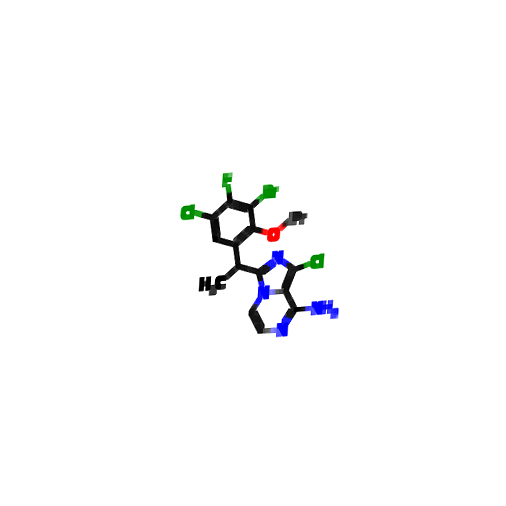 CC(C)Oc1c(C(C)c2nc(Cl)c3c(N)nccn23)cc(Cl)c(F)c1Br